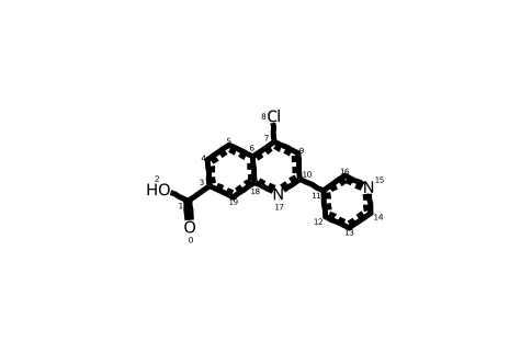 O=C(O)c1ccc2c(Cl)cc(-c3cccnc3)nc2c1